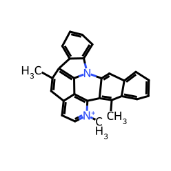 Cc1cc2cc[n+](C)c3c4c(C)c5ccccc5cc4n4c5ccccc5c1c4c23